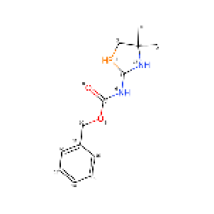 CC1(C)CPC(NC(=O)OCc2ccccc2)N1